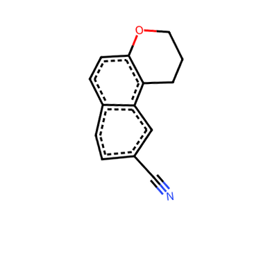 N#Cc1ccc2ccc3c(c2c1)CCCO3